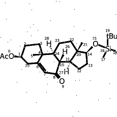 CC(=O)O[C@H]1CC[C@@]2(C)C(=CC(=O)[C@H]3[C@@H]4CC[C@H](O[Si](C)(C)C(C)(C)C)[C@@]4(C)CC[C@@H]32)C1